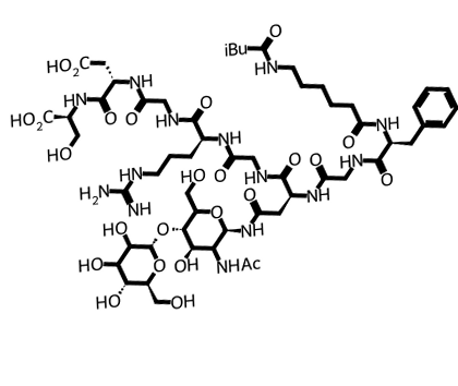 CCC(C)C(=O)NCCCCCC(=O)N[C@@H](Cc1ccccc1)C(=O)NCC(=O)N[C@@H](CC(=O)N[C@@H]1OC(CO)[C@@H](O[C@@H]2O[C@@H](CO)[C@H](O)C(O)C2O)[C@H](O)C1NC(C)=O)C(=O)NCC(=O)N[C@@H](CCCNC(=N)N)C(=O)NCC(=O)N[C@@H](CC(=O)O)C(=O)N[C@@H](CO)C(=O)O